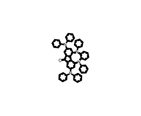 O=c1c2cc(N(c3ccccc3)c3ccccc3)cc3c2c2c1cc(N(c1ccccc1)c1ccccc1)cc2n(-c1ccccc1)c1ccccc1n3-c1ccccc1